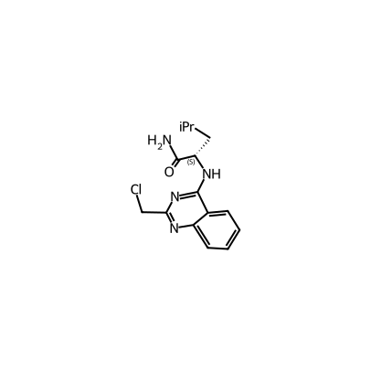 CC(C)C[C@H](Nc1nc(CCl)nc2ccccc12)C(N)=O